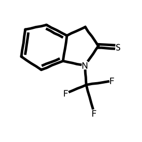 FC(F)(F)N1C(=S)Cc2ccccc21